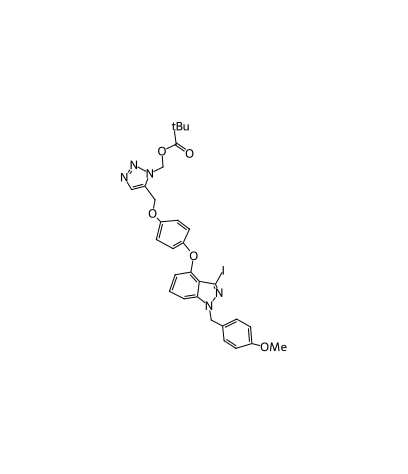 COc1ccc(Cn2nc(I)c3c(Oc4ccc(OCc5cnnn5COC(=O)C(C)(C)C)cc4)cccc32)cc1